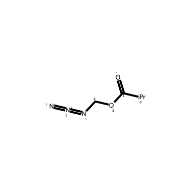 CC(C)C(=O)OCN=[N+]=[N-]